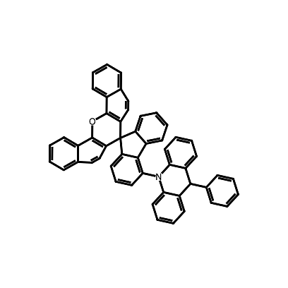 c1ccc(C2c3ccccc3N(c3cccc4c3-c3ccccc3C43c4ccc5ccccc5c4Oc4c3ccc3ccccc43)c3ccccc32)cc1